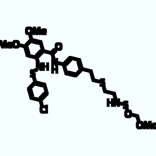 COCOSNCCSCCc1ccc(NC(=O)c2cc(OC)c(OC)cc2NSc2ccc(Cl)cc2)cc1